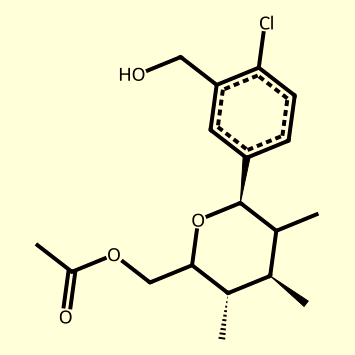 CC(=O)OCC1O[C@@H](c2ccc(Cl)c(CO)c2)C(C)[C@@H](C)[C@@H]1C